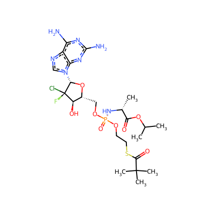 CC(C)OC(=O)[C@@H](C)N[P@@](=O)(OCCSC(=O)C(C)(C)C)OC[C@H]1O[C@@H](n2cnc3c(N)nc(N)nc32)[C@@](F)(Cl)[C@@H]1O